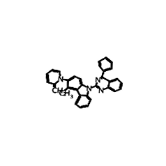 C=C1C=CC=CN1c1ccc2c(c1C)c1ccccc1n2-c1nc(-c2ccccc2)c2ccccc2n1